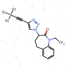 CC[Si](C#Cc1cn(C2CCc3ccccc3N(CC(F)(F)F)C2=O)nn1)(CC)CC